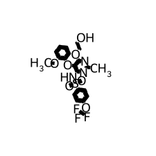 COc1ccccc1Oc1c(NS(=O)(=O)c2ccc(OC(F)(F)F)cc2)nc(C)nc1OCCO